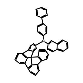 c1ccc2c(c#1)C13c4cc(N(c5ccc(-c6ccccc6)cc5)c5ccc6ccccc6c5)ccc4-c4cccc(c41)-c1cccc-2c13